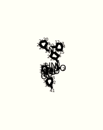 COC(=O)[C@H](Cc1ccc(N(Cc2ccccc2)Cc2ccccc2)cc1)NC(=O)[C@@H]1CCCN1S(=O)(=O)c1ccc(C)cc1